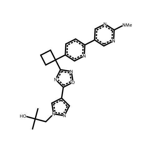 CNc1ncc(-c2ccc(C3(c4noc(-c5cnn(CC(C)(C)O)c5)n4)CCC3)cn2)cn1